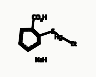 C[CH2][Hg][S]c1ccccc1C(=O)O.[NaH]